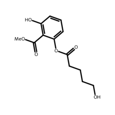 COC(=O)c1c(O)cccc1OC(=O)CCCCO